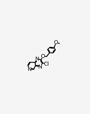 COc1ccc(COc2nc3ccncc3nc2Cl)cc1